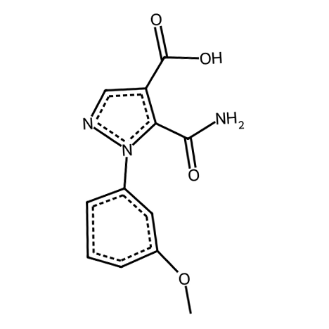 COc1cccc(-n2ncc(C(=O)O)c2C(N)=O)c1